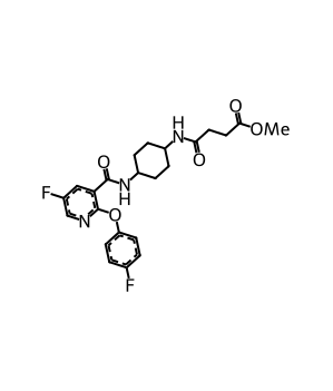 COC(=O)CCC(=O)NC1CCC(NC(=O)c2cc(F)cnc2Oc2ccc(F)cc2)CC1